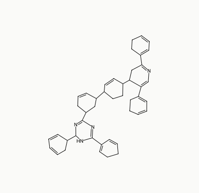 C1=CCCC(C2=CN=C(C3=CC=CCC3)CC2C2C=CC(C3C=CCC(C4=NC(C5C=CC=CC5)NC(C5=CCCC=C5)=N4)C3)CC2)=C1